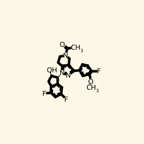 COc1cc(-c2nn([C@@H]3c4cc(F)cc(F)c4C[C@@H]3O)c3c2CN(C(C)=O)CC3)ccc1F